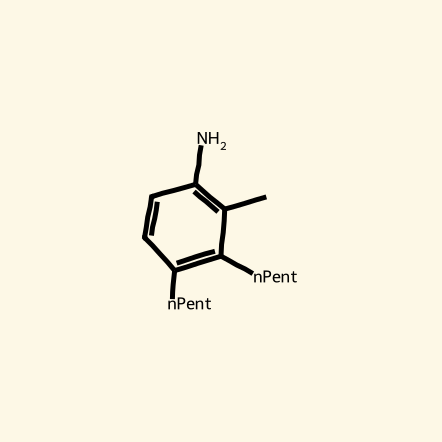 CCCCCc1ccc(N)c(C)c1CCCCC